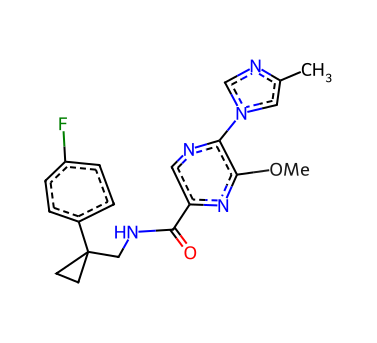 COc1nc(C(=O)NCC2(c3ccc(F)cc3)CC2)cnc1-n1cnc(C)c1